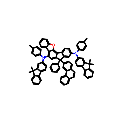 Cc1ccc(N(c2ccc3c(c2)C(C)(C)c2ccccc2-3)c2ccc3c(c2)C(c2ccccc2)(c2ccc4ccc5ccccc5c4c2)c2cc(N(c4ccc(C)cc4)c4ccc5c(c4)C(C)(C)c4ccccc4-5)c4c(oc5ccccc54)c2-3)cc1